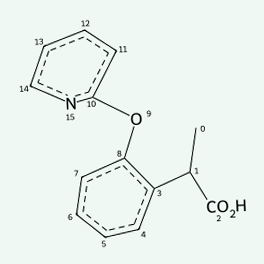 CC(C(=O)O)c1ccccc1Oc1ccccn1